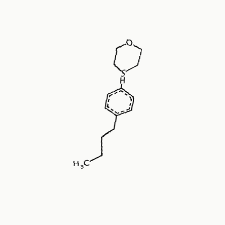 CCCCc1ccc([SH]2CCOCC2)cc1